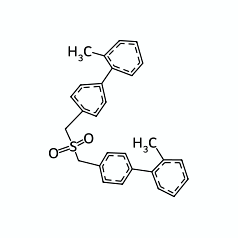 Cc1ccccc1-c1ccc(CS(=O)(=O)Cc2ccc(-c3ccccc3C)cc2)cc1